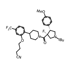 COc1ccc([C@@H]2CN(C(C)(C)C)C[C@@]2(F)C(=O)N2CCC(c3ccc(C(F)(F)F)cc3OCCCC#N)CC2)cc1